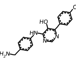 NCc1ccc(Nc2ncnc(-c3ccc(Cl)cc3)c2O)cc1